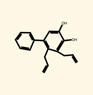 C=CCc1c(-c2ccccc2)cc(O)c(O)c1CC=C